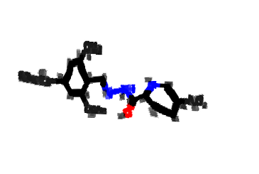 COc1cc(OC)c(C=NNC(=O)c2ccc([N+](=O)[O-])cn2)c(OC)c1